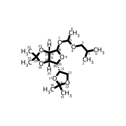 CC(C)COC(C)OC1O[C@H](C2COC(C)(C)O2)[C@@H]2OC(C)(C)O[C@H]12